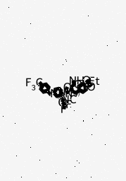 CCS(=O)(=O)c1ccc([C@H](CC#N)c2nc(N3CCN(Cc4ccc(C(F)(F)F)cc4)C[C@H]3COC(F)F)oc2C(N)=O)cc1